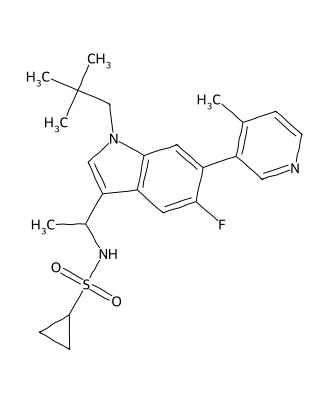 Cc1ccncc1-c1cc2c(cc1F)c(C(C)NS(=O)(=O)C1CC1)cn2CC(C)(C)C